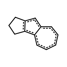 c1ccc2cc3c(c-2cc1)CCC3